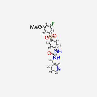 COc1cc(F)cc(S(=O)(=O)c2ccc(NC(=O)NCc3cccnc3)cc2)c1